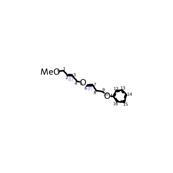 COC/C=C/CO/C=C/CCOc1ccccc1